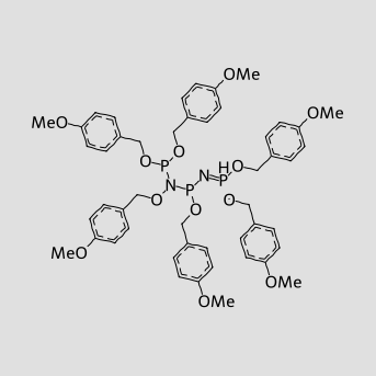 COc1ccc(CON(P(N=[PH](OCc2ccc(OC)cc2)OCc2ccc(OC)cc2)OCc2ccc(OC)cc2)P(OCc2ccc(OC)cc2)OCc2ccc(OC)cc2)cc1